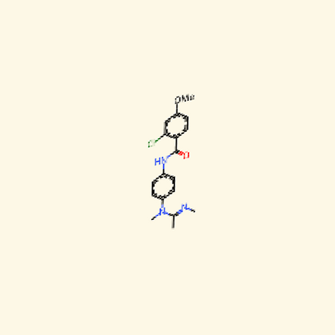 CN=C(C)N(C)c1ccc(NC(=O)c2ccc(OC)cc2Cl)cc1